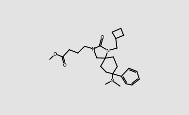 COC(=O)CCCN1CC2(CCC(c3ccccc3)(N(C)C)CC2)N(CC2CCC2)C1=O